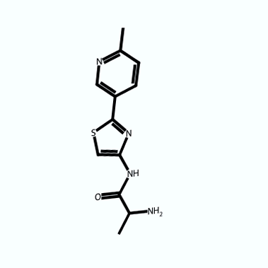 Cc1ccc(-c2nc(NC(=O)C(C)N)cs2)cn1